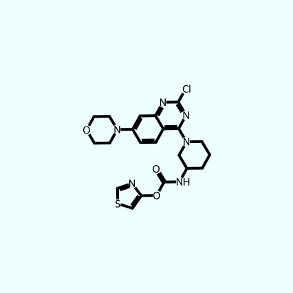 O=C(NC1CCCN(c2nc(Cl)nc3cc(N4CCOCC4)ccc23)C1)Oc1cscn1